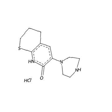 Cl.O=c1[nH]c2c(cc1N1CCNCC1)CCCS2